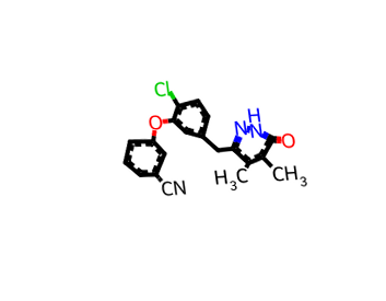 Cc1c(Cc2ccc(Cl)c(Oc3cccc(C#N)c3)c2)n[nH]c(=O)c1C